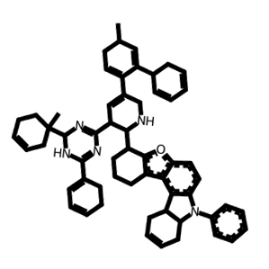 CC1C=C(C2C=CC=CC2)C(C2=CC(C3=NC(C4(C)CC=CCC4)NC(C4=CC=CCC4)=N3)C(C3CCCc4c3oc3ccc5c(c43)C3CC=CCC3N5c3ccccc3)NC2)=CC1